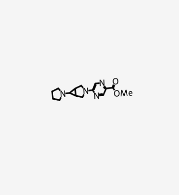 COC(=O)c1cnc(N2CC3C(C2)C3N2CCCC2)cn1